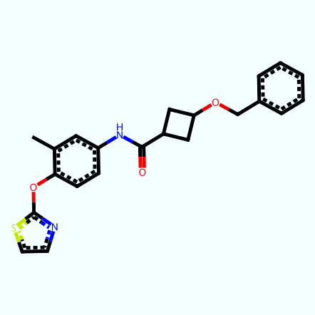 Cc1cc(NC(=O)C2CC(OCc3ccccc3)C2)ccc1Oc1nccs1